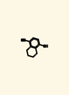 O=Nc1ccc(O)c2c1CCCC2